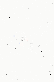 COc1cccc(CCOc2ccc3c(c2)C(=O)NC[C@@H]2CNCC32)c1